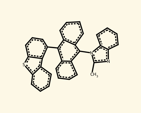 Cc1nc2ccccc2n1-c1c2ccccc2c(-c2cccc3sc4ccccc4c23)c2ccccc12